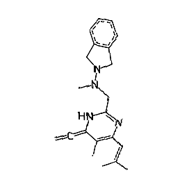 C=C=C1NC(CN(C)N2Cc3ccccc3C2)=NC(C=C(C)C)=C1C